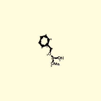 COP(O)OCc1ccccc1